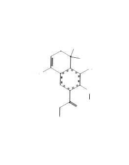 CC(C)Oc1c(C(=O)CF)cc2c(c1Br)C(C)(C)CC=C2C(C)(C)C